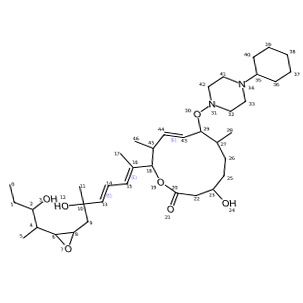 CCC(O)C(C)C1OC1CC(C)(O)/C=C/C=C(\C)C1OC(=O)CC(O)CCC(C)C(ON2CCN(C3CCCCC3)CC2)/C=C/C1C